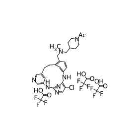 CC(=O)N1CCC(CN(C)Cc2ccc3cc2CCc2cncc(c2)Nc2ncc(Cl)c(n2)N3)CC1.O=C(O)C(F)(F)F.O=C(O)C(F)(F)F.O=C(O)C(F)(F)F